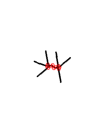 CCCCCCCCCCCCCCCCCCOc1cc(COC(=O)CCC(=O)OCc2cc(OCCCCCCCCCCCCCCCCCC)c(OCCCCCCCCCCCCCCCCCC)c(OCCCCCCCCCCCCCCCCCC)c2)cc(OCCCCCCCCCCCCCCCCCC)c1OCCCCCCCCCCCCCCCCCC